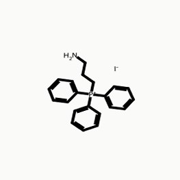 NCCC[P+](c1ccccc1)(c1ccccc1)c1ccccc1.[I-]